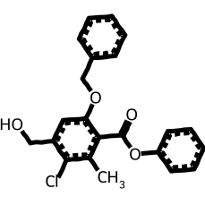 Cc1c(Cl)c(CO)cc(OCc2ccccc2)c1C(=O)Oc1ccccc1